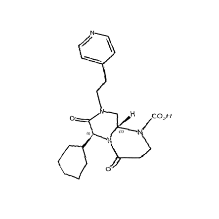 O=C1[C@H](C2CCCCC2)N2C(=O)CCN(C(=O)O)[C@H]2CN1CCc1ccncc1